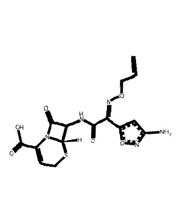 C=CCON=C(C(=O)NC1C(=O)N2C(C(=O)O)=CCS[C@@H]12)c1cc(N)no1